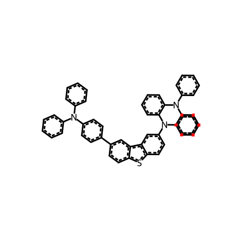 c1ccc(N(c2ccccc2)c2ccc(-c3ccc4sc5ccc(N(c6ccccc6)c6ccccc6N(c6ccccc6)c6ccccc6)cc5c4c3)cc2)cc1